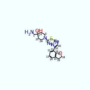 NCC1(O)CCN(c2nn3c(-c4cccc5c4OCC5)cnc3s2)CC1